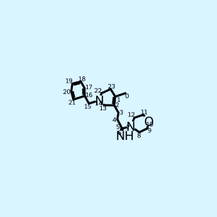 CC1=C(CCC(=N)N2CCOCC2)CN(Cc2ccccc2)CC1